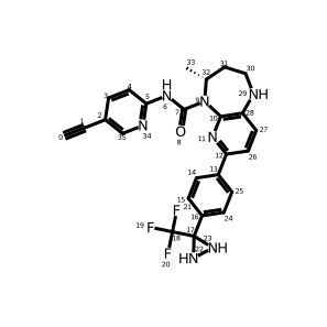 C#Cc1ccc(NC(=O)N2c3nc(-c4ccc(C5(C(F)(F)F)NN5)cc4)ccc3NCC[C@H]2C)nc1